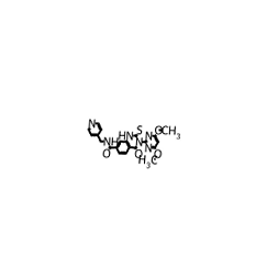 COc1cc(OC)nc(-n2c(=S)[nH]c3cc(C(=O)NCc4ccncc4)ccc3c2=O)n1